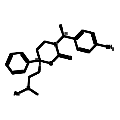 Bc1ccc([C@H](C)N2CC[C@](CCN(C)C(C)=O)(c3ccccc3)OC2=O)cc1